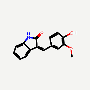 COc1cc(C=C2C(=O)Nc3ccccc32)ccc1O